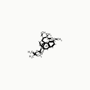 CC[C@@H]([C@H]1CC[C@]2(C)[C@@H]3Cc4ccc(OC)cc4C12CCN3C(=O)OC(C)(C)C)N(C)C=O